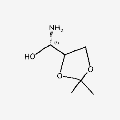 CC1(C)OCC([C@@H](N)O)O1